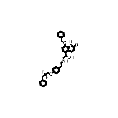 O=c1ccc2c(C(O)CNCCc3ccc(OCC(F)(F)Cc4ccccc4)cc3)ccc(OCc3ccccc3)c2[nH]1